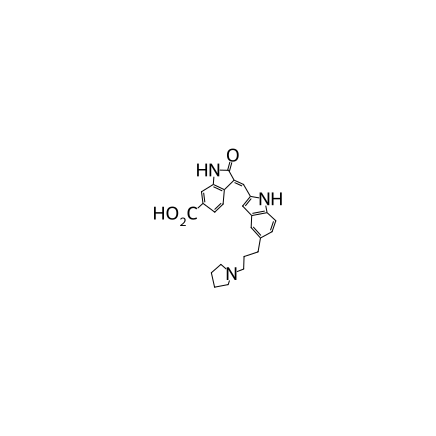 O=C1Nc2cc(C(=O)O)ccc2/C1=C\c1cc2cc(CCCN3CCCC3)ccc2[nH]1